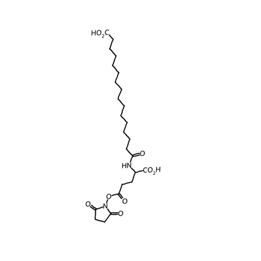 O=C(O)CCCCCCCCCCCCCCC(=O)NC(CCC(=O)ON1C(=O)CCC1=O)C(=O)O